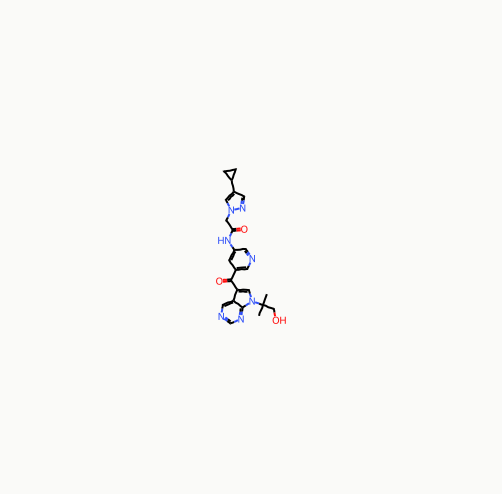 CC(C)(CO)n1cc(C(=O)c2cncc(NC(=O)Cn3cc(C4CC4)cn3)c2)c2cncnc21